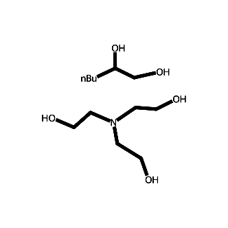 CCCCC(O)CO.OCCN(CCO)CCO